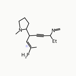 C=NC(C#CC(/C=C(\C)P)C1CCCN1C)CC